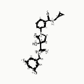 O=C(NC1CC1)c1cccc(N2CC[C@](O)(C(=O)NCc3cc(F)cc(Cl)c3)C2=O)c1